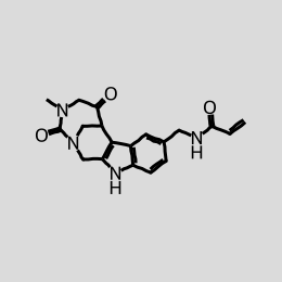 C=CC(=O)NCc1ccc2[nH]c3c(c2c1)C1CN(C3)C(=O)N(C)CC1=O